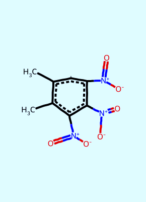 Cc1[c]c([N+](=O)[O-])c([N+](=O)[O-])c([N+](=O)[O-])c1C